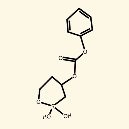 O=C(Oc1ccccc1)OC1CCOS(O)(O)C1